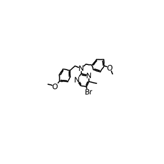 COc1ccc(CN(Cc2ccc(OC)cc2)c2ncc(Br)c(C)n2)cc1